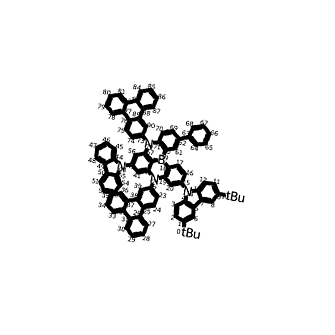 CC(C)(C)c1ccc2c(c1)c1cc(C(C)(C)C)ccc1n2-c1ccc2c(c1)N(c1ccc3c4ccccc4c4ccccc4c3c1)c1cc(-n3c4ccccc4c4ccccc43)cc3c1B2c1cc(-c2ccccc2)ccc1N3c1ccc2c3ccccc3c3ccccc3c2c1